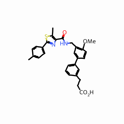 COc1ccc(-c2cccc(CCC(=O)O)c2)cc1CNC(=O)c1nc(-c2ccc(C)cc2)sc1C